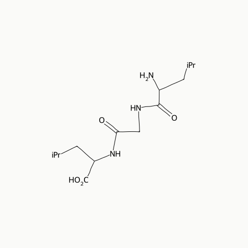 CC(C)CC(N)C(=O)NCC(=O)NC(CC(C)C)C(=O)O